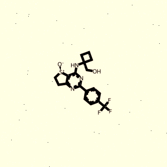 [O-][S@+]1CCc2nc(-c3ccc(C(F)(F)F)cc3)nc(NC3(CO)CCC3)c21